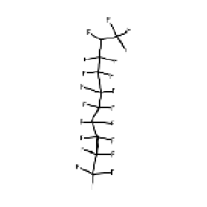 FC(C(F)(F)I)C(F)(F)C(F)(F)C(F)(F)C(F)(F)C(F)(F)C(F)(F)C(F)(F)C(F)(F)F